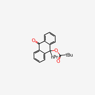 CCCC1(OC(=O)C(C)(C)C)c2ccccc2C(=O)c2ccccc21